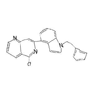 Clc1nc(-c2cccc3c2ccn3Cc2ccccc2)cc2ncccc12